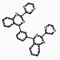 c1cc(-c2nc(-c3cnccn3)nc3ccccc23)cc(-c2nc(-c3cnccn3)nc3ccccc23)c1